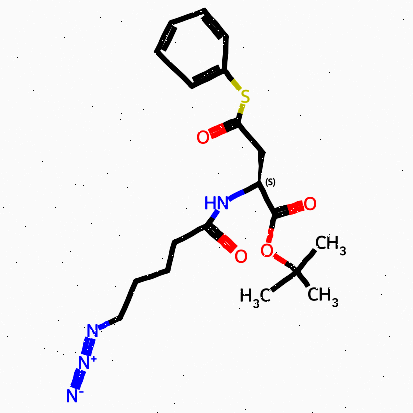 CC(C)(C)OC(=O)[C@H](CC(=O)Sc1ccccc1)NC(=O)CCCCN=[N+]=[N-]